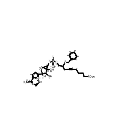 CCCCCCCCCCCCCCC#CCC(COP(=O)(O)OC1C2OC(C#N)(c3ccc4c(N)ncnn34)C(O)C21O)OCc1ccccc1